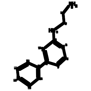 NCCNc1nccc(-c2ccncc2)n1